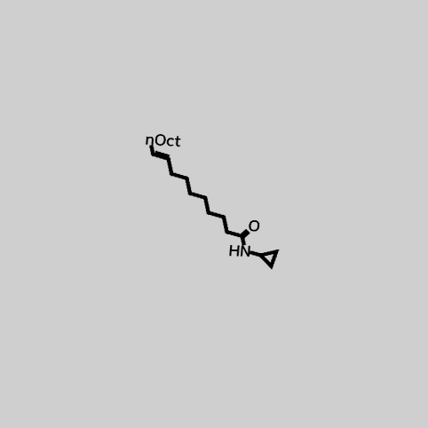 CCCCCCCCC=CCCCCCCCC(=O)NC1CC1